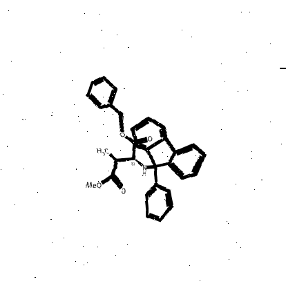 COC(=O)C(C)[C@H](NC1(c2ccccc2)c2ccccc2-c2ccccc21)C(=O)OCc1ccccc1